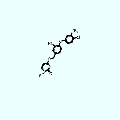 CCn1ccc(OCc2ccc(Oc3ccc(Cl)c(C(F)(F)F)c3)c(C#N)c2)nc1=O